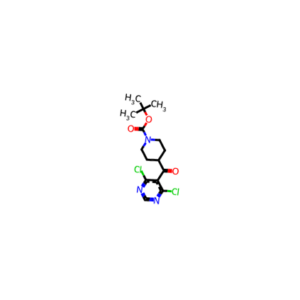 CC(C)(C)OC(=O)N1CCC(C(=O)c2c(Cl)ncnc2Cl)CC1